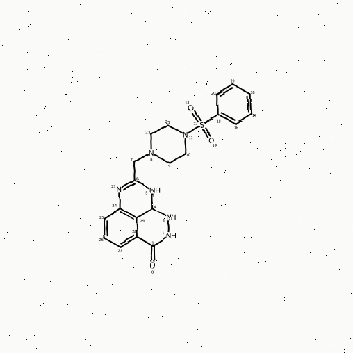 O=C1NNC2NC(CN3CCN(S(=O)(=O)c4ccccc4)CC3)=Nc3cccc1c32